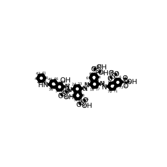 O=S(=O)(O)c1cc(S(=O)(=O)O)c2cc(N=Nc3ccc(N=Nc4ccc(N=Nc5c(S(=O)(=O)O)cc6cc(Nc7ccccc7)ccc6c5O)c5ccc(S(=O)(=O)O)cc45)c4ccc(S(=O)(=O)O)cc34)ccc2c1